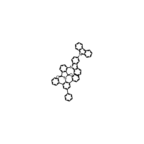 O=C1c2cccc(-n3c4ccccc4c4cc(-n5c6ccccc6c6ccccc65)ccc43)c2C(=O)N1c1c(-c2ccccc2)cc(-c2ccccc2)cc1-c1ccccc1